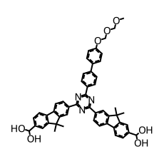 COCOCOc1ccc(-c2ccc(-c3nc(-c4ccc5c(c4)C(C)(C)c4cc(C(O)O)ccc4-5)nc(-c4ccc5c(c4)C(C)(C)c4cc(C(O)O)ccc4-5)n3)cc2)cc1